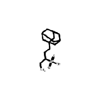 NCC(CCC12CC3CC(CC(C3)C1)C2)S(=O)(=O)O